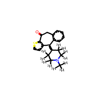 [2H]C([2H])([2H])N1C([2H])([2H])C([2H])([2H])C(=C2c3ccccc3CC(=O)c3sccc32)C([2H])([2H])C1([2H])[2H]